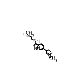 CNCCNc1cnn2cc(-c3cnn(C)c3)ccc12